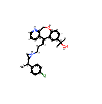 CC(=O)C(c1ccc(Cl)cc1)C1CN1CC/C=C1/c2cc(C(C)(C)O)ccc2OCc2ncccc21